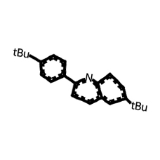 CC(C)(C)c1ccc(-c2ccc3cc(C(C)(C)C)ccc3n2)cc1